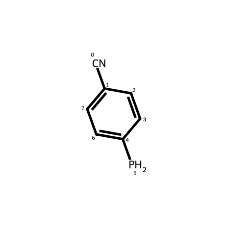 N#Cc1ccc(P)cc1